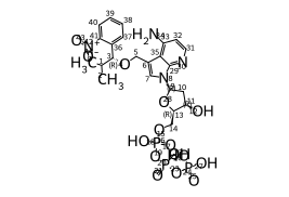 CC(C)[C@@H](OCc1cn([C@H]2C[C@@H](O)[C@@H](COP(=O)(O)OP(=O)(O)OP(=O)(O)O)O2)c2nccc(N)c12)c1ccccc1[N+](=O)[O-]